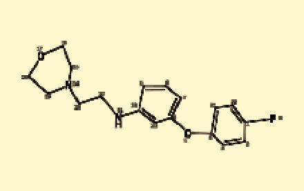 Fc1ccc(Oc2cccc(NCCN3CCOCC3)c2)cc1